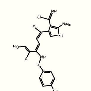 CNc1[nH]cc(\C(F)=C/C=C(NSc2ccc(C(F)(F)F)cc2)\C(F)=C\O)c1C(=N)Cl